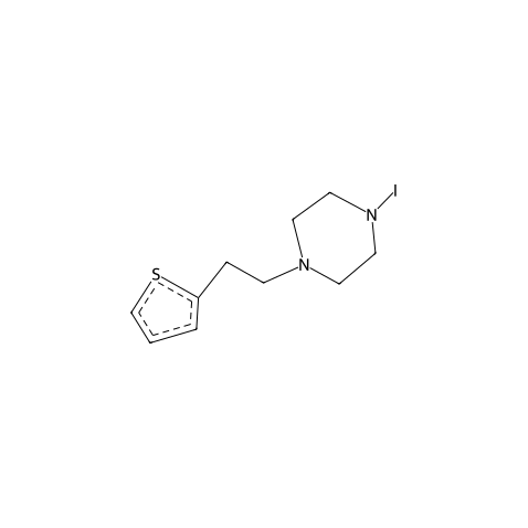 IN1CCN(CCc2cccs2)CC1